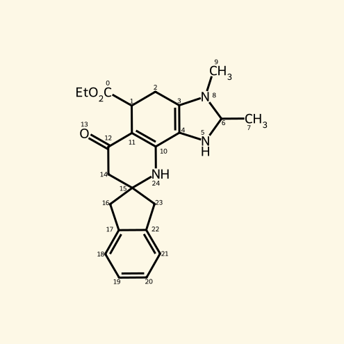 CCOC(=O)C1CC2=C(NC(C)N2C)C2=C1C(=O)CC1(Cc3ccccc3C1)N2